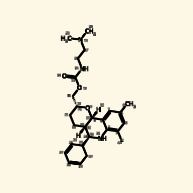 Cc1cc(F)c2c(c1)[C@H]1O[C@@H](COC(=O)NCCN(C)C)CC[C@H]1[C@H](C1C=CC=CC1)N2